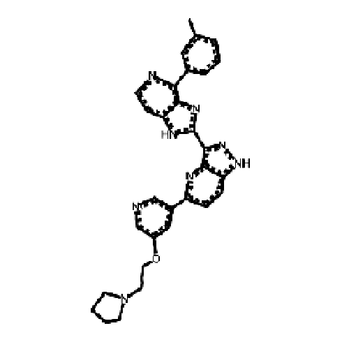 Cc1cccc(-c2nccc3[nH]c(-c4n[nH]c5ccc(-c6cncc(OCCN7CCCC7)c6)nc45)nc23)c1